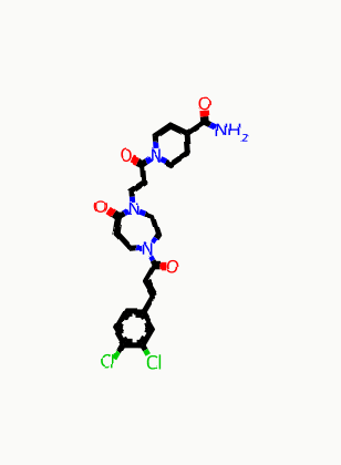 NC(=O)C1CCN(C(=O)CCN2CCN(C(=O)C=Cc3ccc(Cl)c(Cl)c3)CCC2=O)CC1